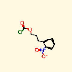 O=C(Cl)OCCCc1ccccc1[N+](=O)[O-]